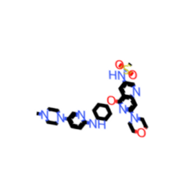 CN1CCN(c2ccc(N[C@H]3CC[C@@H](Oc4nc(N5CCOCC5)cc5ncc(NS(C)(=O)=O)cc45)CC3)nc2)CC1